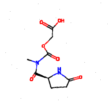 CN(C(=O)OCC(=O)O)C(=O)[C@@H]1CCC(=O)N1